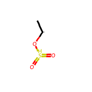 C[CH]O[SH](=O)=O